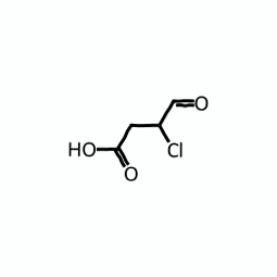 O=CC(Cl)CC(=O)O